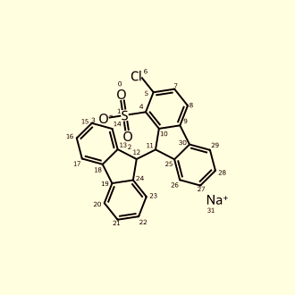 O=S(=O)([O-])c1c(Cl)ccc2c1C(C1c3ccccc3-c3ccccc31)c1ccccc1-2.[Na+]